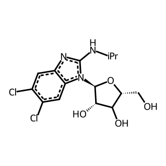 CC(C)Nc1nc2cc(Cl)c(Cl)cc2n1[C@H]1O[C@H](CO)C(O)[C@@H]1O